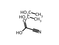 CC(=O)O.CC(=O)O.N#CC(=O)O